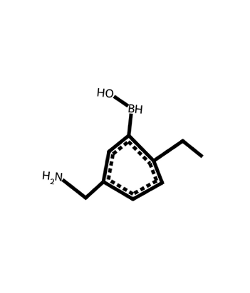 CCc1ccc(CN)cc1BO